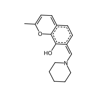 CC1=CC=c2ccc(=CN3CCCCC3)c(O)c2O1